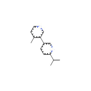 Cc1ccncc1-c1ccc(C(C)C)nc1